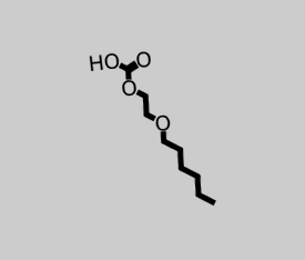 CCCCCCOCCOC(=O)O